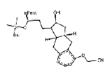 CCCCC[C@@H](CC[C@@H]1[C@H]2Cc3cccc(OCC#N)c3C[C@H]2C[C@@H]1O)O[Si](C)(C)C(C)(C)C